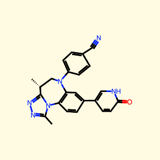 Cc1nnc2n1-c1ccc(-c3ccc(=O)[nH]c3)cc1N(c1ccc(C#N)cc1)C[C@H]2C